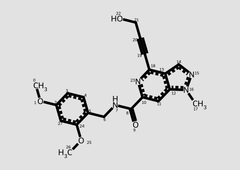 COc1ccc(CNC(=O)c2cc3c(cnn3C)c(C#CCO)n2)c(OC)c1